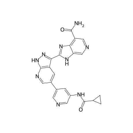 NC(=O)c1cncc2[nH]c(-c3n[nH]c4ncc(-c5cncc(NC(=O)C6CC6)c5)cc34)nc12